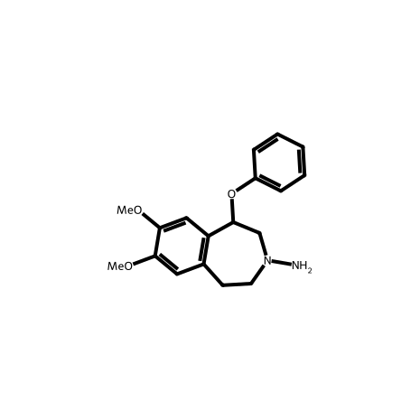 COc1cc2c(cc1OC)C(Oc1ccccc1)CN(N)CC2